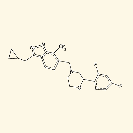 Fc1ccc(C2CN(Cc3ccn4c(CC5CC5)nnc4c3C(F)(F)F)CCO2)c(F)c1